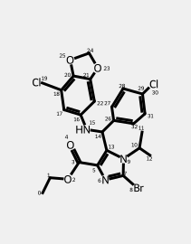 CCOC(=O)c1nc(Br)n(C(C)C)c1C(Nc1cc(Cl)c2c(c1)OCO2)c1ccc(Cl)cc1